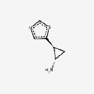 N[C@H]1C[C@@H]1c1cncs1